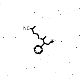 CC(C)CC(c1ccccc1)C(C)CCCC(C)C#N